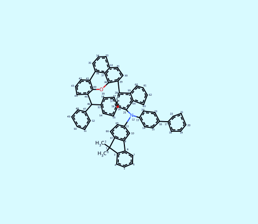 CC1(C)c2ccccc2-c2cc(N(c3ccc(-c4ccccc4)cc3)c3ccc(-c4ccc5cccc6c5c4Oc4c-6cccc4C(c4ccccc4)c4ccccc4)c4ccccc34)ccc21